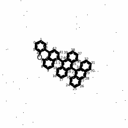 c1ccc2c(c1)Oc1cccc3c(-c4c5ccccc5c(-c5c6ccccc6cc6ccccc56)c5ccccc45)ccc-2c13